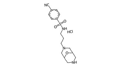 Cl.N#Cc1ccc(S(=O)(=O)NCCCN2CC3CNCC(C2)O3)cc1